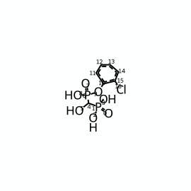 O=P(O)(O)C(O)P(=O)(O)Oc1ccccc1Cl